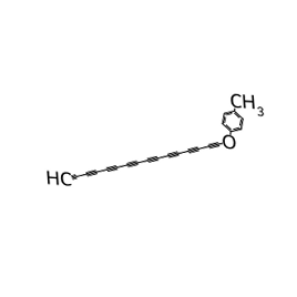 C#CC#CC#CC#CC#CC#CC#CC#COc1ccc(C)cc1